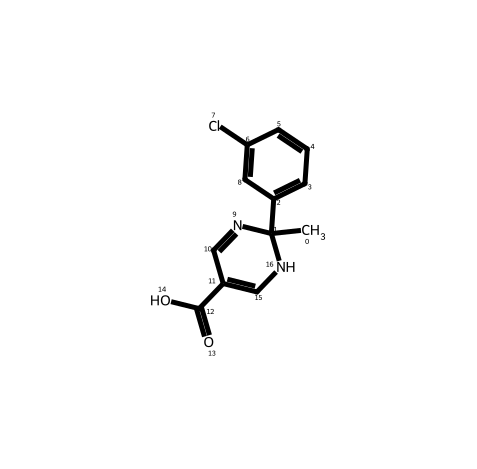 CC1(c2cccc(Cl)c2)N=CC(C(=O)O)=CN1